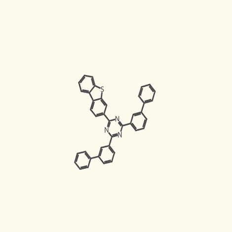 c1ccc(-c2cccc(-c3nc(-c4cccc(-c5ccccc5)c4)nc(-c4ccc5c(c4)sc4ccccc45)n3)c2)cc1